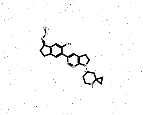 CO/N=C1/CCc2cc(-c3cc4c(nn3)N([C@H]3CCNC5(CC5)C3)CC4)c(O)cc21